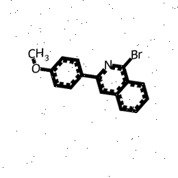 COc1ccc(-c2cc3ccccc3c(Br)n2)cc1